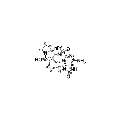 CCCS(=N)(=O)c1nc(N)c2[nH]c(=O)n(Cc3ccc(C(O)N4CCCC4)cc3)c2n1